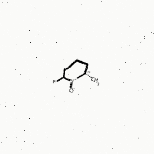 CC(C)C1CCC[C@H](C)[S+]1[O-]